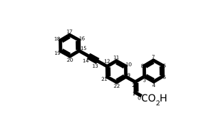 O=C(O)/C=C(\c1ccccc1)c1ccc(C#Cc2ccccc2)cc1